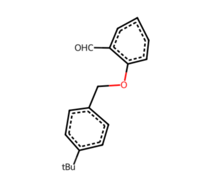 CC(C)(C)c1ccc(COc2ccccc2C=O)cc1